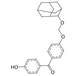 O=C(c1ccc(O)cc1)c1ccc(OCOC2C3CC4CC(C3)CC2C4)cc1